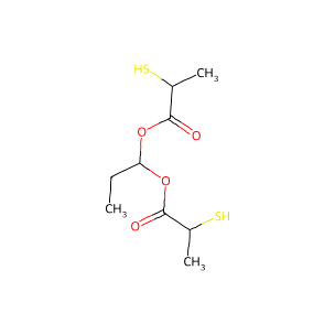 CCC(OC(=O)C(C)S)OC(=O)C(C)S